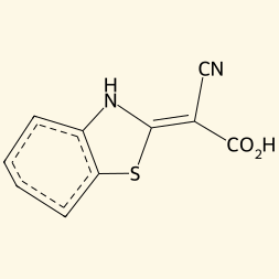 N#C/C(C(=O)O)=C1\Nc2ccccc2S1